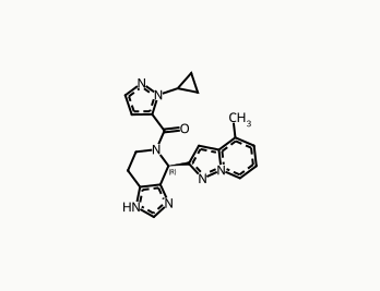 Cc1cccn2nc([C@H]3c4nc[nH]c4CCN3C(=O)c3ccnn3C3CC3)cc12